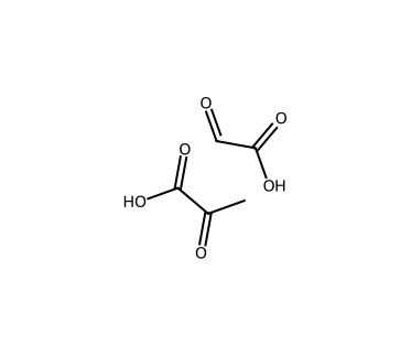 CC(=O)C(=O)O.O=CC(=O)O